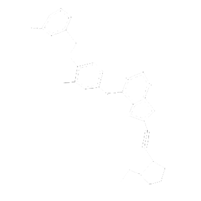 OCN1CCCC1C#Cc1cc2ncnc(Nc3ccc(OCc4cccc(F)c4)c(Cl)c3)c2s1